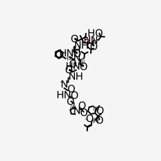 COC1C(OC(=O)N2CCC[C@H]2COC(=O)NC(=O)CN(C)CCNC(=O)CNC(=O)[C@H](CC(C)C)NC(=O)[C@H](Cc2ccccc2)NC(=O)CNC(=O)C(C)(CC(C)(CC(C)C)C(=O)NCC(C)O)C(C)C)CC[C@]2(CO2)C1C1(C)O[C@@H]1CC=C(C)C